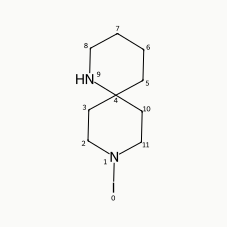 IN1CCC2(CCCCN2)CC1